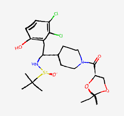 CC1(C)OC[C@H](C(=O)N2CCC(C(N[S@@+]([O-])C(C)(C)C)c3c(O)ccc(Cl)c3Cl)CC2)O1